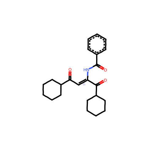 O=C(N/C(=C\C(=O)C1CCCCC1)C(=O)C1CCCCC1)c1ccccc1